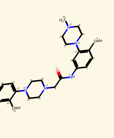 COc1ccc(NC(=O)CN2CCN(c3ccccc3OC)CC2)cc1N1CCN(C)CC1